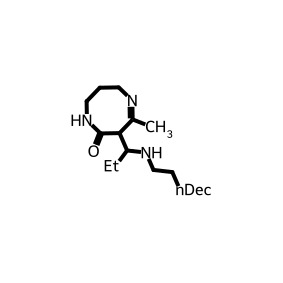 CCCCCCCCCCCCNC(CC)C1C(=O)NCCCN=C1C